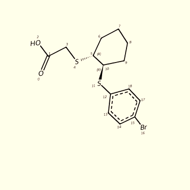 O=C(O)CS[C@@H]1CCCC[C@H]1Sc1ccc(Br)cc1